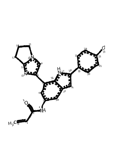 C=CC(=O)Nc1cc(-c2cn3c(n2)CCC3)c2[nH]c(-c3ccc(Cl)cc3)cc2c1